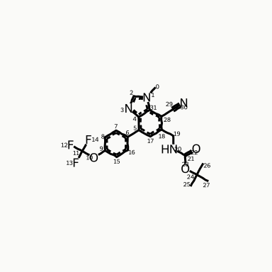 Cn1cnc2c(-c3ccc(OC(F)(F)F)cc3)cc(CNC(=O)OC(C)(C)C)c(C#N)c21